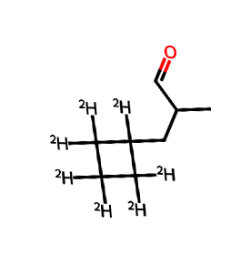 [2H]C1([2H])C([2H])([2H])C([2H])(CC(C)C=O)C1([2H])[2H]